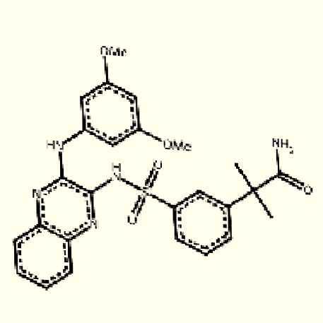 COc1cc(Nc2nc3ccccc3nc2NS(=O)(=O)c2cccc(C(C)(C)C(N)=O)c2)cc(OC)c1